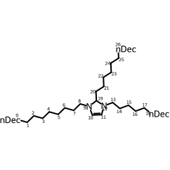 CCCCCCCCCCCCCCCCCCN1C=CN(CCCCCCCCCCCCCCC)C1CCCCCCCCCCCCCCCC